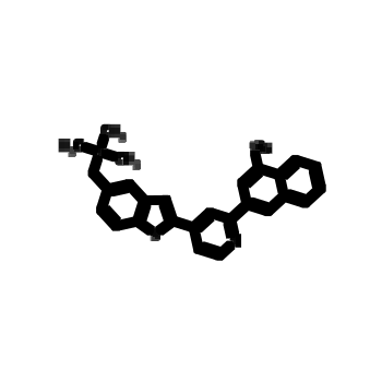 CC(C)(C)c1cc(-c2cc(-c3cc4cc(CS(C)(C)C)ccc4s3)ccn2)cc2ccccc12